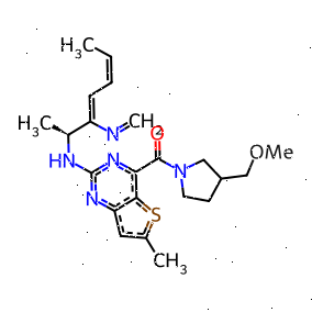 C=N/C(=C\C=C/C)[C@H](C)Nc1nc(C(=O)N2CCC(COC)C2)c2sc(C)cc2n1